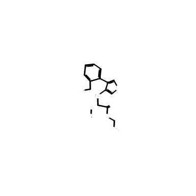 CC(C)C[C@H](Nc1cscc1-c1ccccc1CO)C(=O)NCC#N